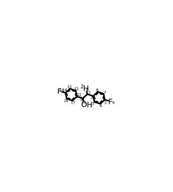 [2H]C(c1ccc(F)cc1)C(O)c1ccc(F)cc1